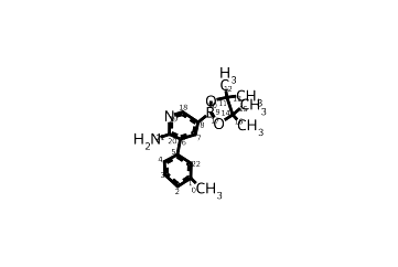 Cc1cccc(-c2cc(B3OC(C)(C)C(C)(C)O3)cnc2N)c1